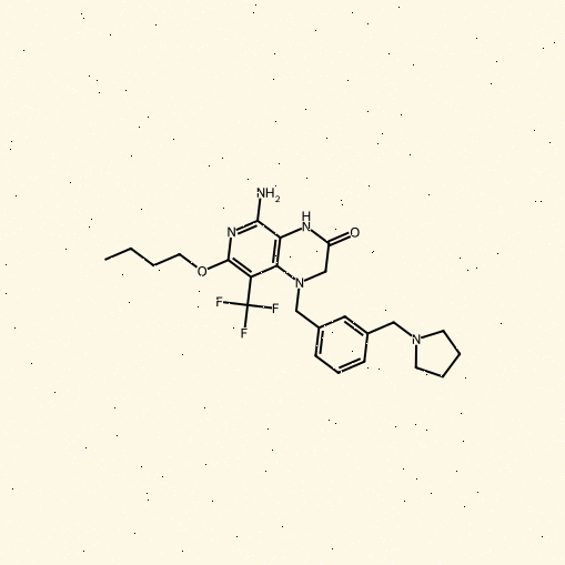 CCCCOc1nc(N)c2c(c1C(F)(F)F)N(Cc1cccc(CN3CCCC3)c1)CC(=O)N2